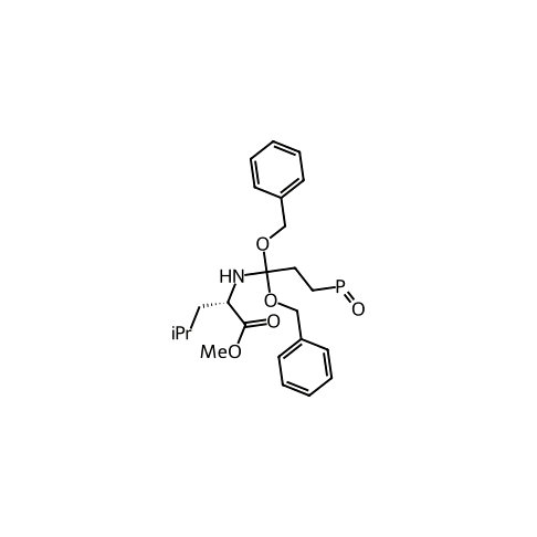 COC(=O)[C@H](CC(C)C)NC(CCP=O)(OCc1ccccc1)OCc1ccccc1